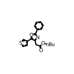 CCCCOC(=O)Cc1nc(-c2ccccc2)oc1-c1ccsc1